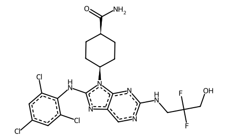 NC(=O)[C@H]1CC[C@@H](n2c(Nc3c(Cl)cc(Cl)cc3Cl)nc3cnc(NCC(F)(F)CO)nc32)CC1